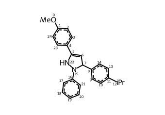 COc1ccc(C2=CC(c3ccc(C(C)C)cc3)N(c3ccccc3)N2)cc1